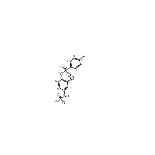 Cc1ccc(S(=O)(=O)Oc2ccc(NS(C)(=O)=O)cc2Cl)cc1